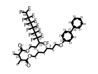 CC(C(=O)OCCCCCCOc1ccc(-c2ccccc2)cc1)C(C)C(=O)OCCC(C(F)(F)F)C(F)(F)C(F)(F)C(F)(F)C(F)(F)C(F)(F)C(F)F